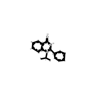 CC(C)n1c(-c2ccccc2)nc(=O)c2ccccc21